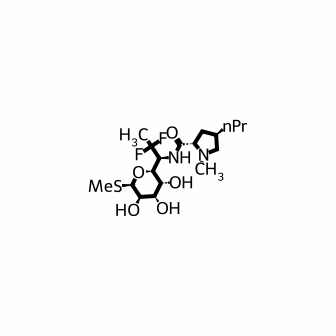 CCC[C@@H]1C[C@@H](C(=O)N[C@@H]([C@H]2O[C@H](SC)[C@H](O)[C@@H](O)[C@H]2O)C(C)(F)F)N(C)C1